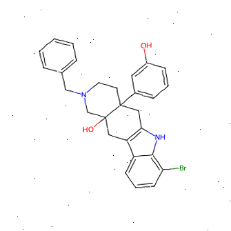 Oc1cccc(C23CCN(Cc4ccccc4)CC2(O)Cc2c([nH]c4c(Br)cccc24)C3)c1